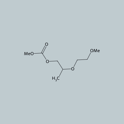 COCCOC(C)COC(=O)OC